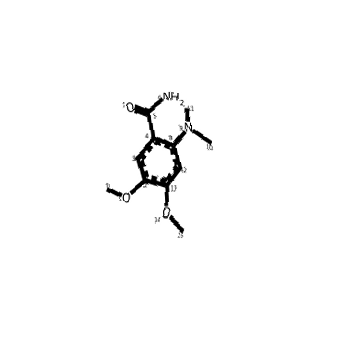 COc1cc(C(N)=O)c(N(C)C)cc1OC